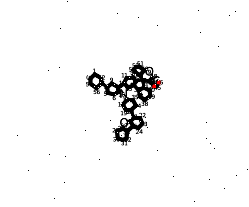 c1ccc(-c2ccc3c(c2)c2ccc4c(c2n3-c2ccc(-c3cccc5c3oc3ccccc35)cc2)-c2ccccc2C42c3ccccc3Oc3ccccc32)cc1